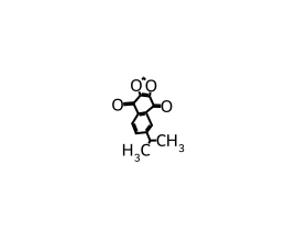 CC(C)c1ccc2c(c1)C(=O)C1=C(OCO1)C2=O